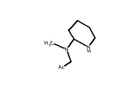 CC(=O)CN(C)C1CCCCN1